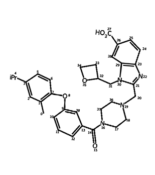 Cc1cc(C(C)C)ccc1Oc1cccc(C(=O)N2CCN(Cc3nc4ccc(C(=O)O)cc4n3CC3CCO3)CC2)c1